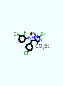 CCOC(=O)c1nc(Br)n(C(C)C)c1C(Nc1cccc(Cl)c1F)c1ccc(Cl)cc1